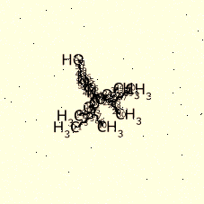 CCCCCCC(CCCC)(CCCC)CC(=O)OCC(COC(=O)CC(CCCC)(CCCC)CCCCCC)N1CCC2(CCN(CCCCO)CC2)CC1